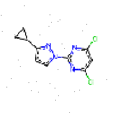 Clc1cc(Cl)nc(-n2ccc(C3CC3)n2)n1